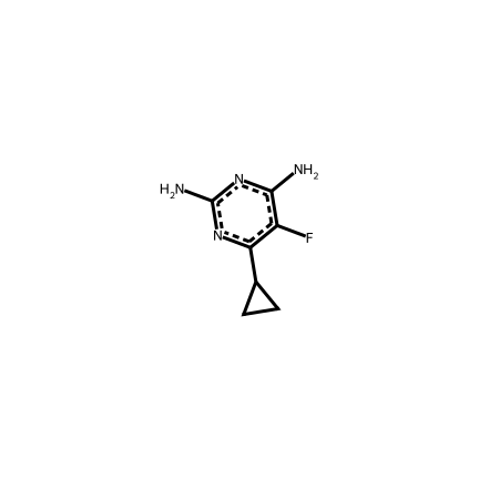 Nc1nc(N)c(F)c(C2CC2)n1